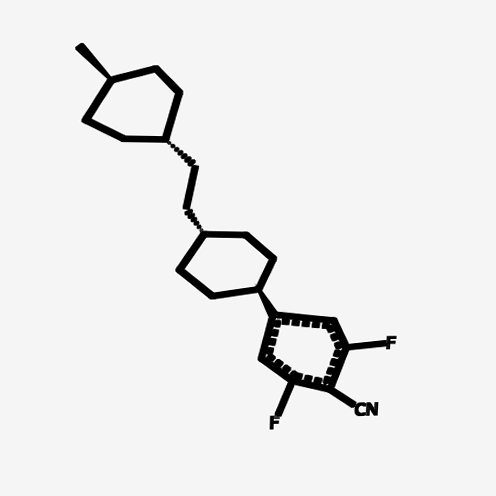 C[C@H]1CC[C@H](CC[C@H]2CC[C@H](c3cc(F)c(C#N)c(F)c3)CC2)CC1